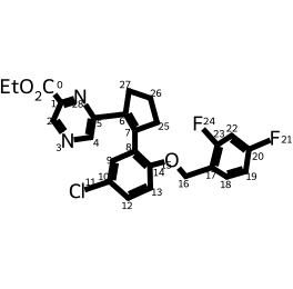 CCOC(=O)c1cncc(C2=C(c3cc(Cl)ccc3OCc3ccc(F)cc3F)CCC2)n1